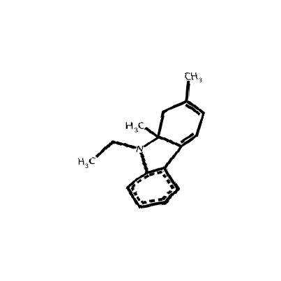 CCN1c2ccccc2C2=CC=C(C)CC21C